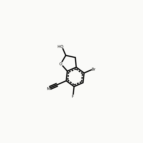 N#Cc1c(F)cc(Br)c2c1OC(O)C2